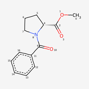 COC(=O)[C@H]1CCCN1C(=O)c1ccccc1